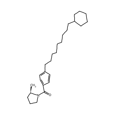 C[C@@H]1CCCN1C(=O)c1ccc(CCCCCCCCCC2CCCCC2)cc1